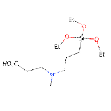 CCO[Si](CCCN(C)CCC(=O)O)(OCC)OCC